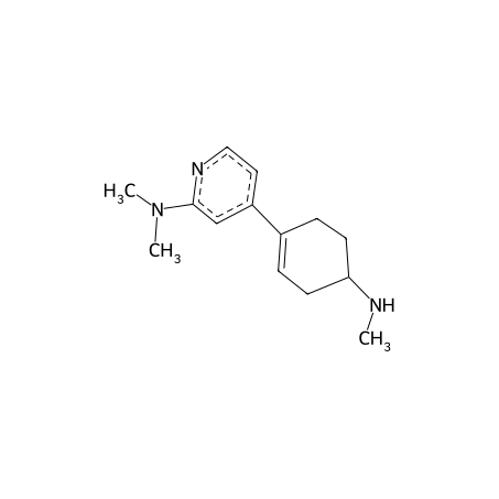 CNC1CC=C(c2ccnc(N(C)C)c2)CC1